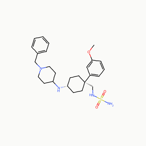 COc1cccc([C@]2(CNS(N)(=O)=O)CC[C@@H](NC3CCN(Cc4ccccc4)CC3)CC2)c1